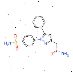 NC(=O)Cc1cc(-c2ccccc2)n(-c2ccc(S(N)(=O)=O)cc2)n1